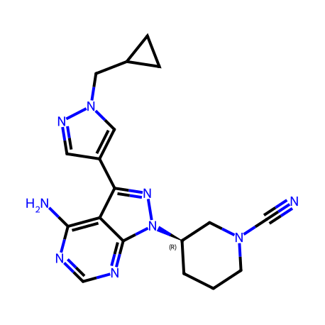 N#CN1CCC[C@@H](n2nc(-c3cnn(CC4CC4)c3)c3c(N)ncnc32)C1